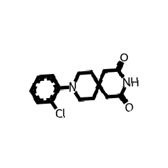 O=C1CC2(CCN(c3ccccc3Cl)CC2)CC(=O)N1